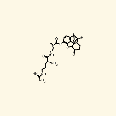 CN(CCNC(=O)[C@@H](N)CCCNC(=N)N)C(=O)Oc1ccc2c3c1OC1C(=O)CCC4[C@@H](C2)N(C)C[C@]314